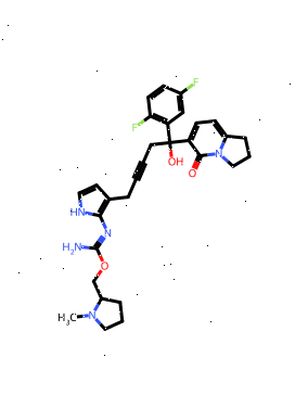 CN1CCCC1CO/C(N)=N/c1[nH]ccc1CC#CCC(O)(c1cc(F)ccc1F)c1ccc2n(c1=O)CCC2